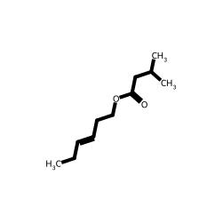 CC/C=C/CCOC(=O)CC(C)C